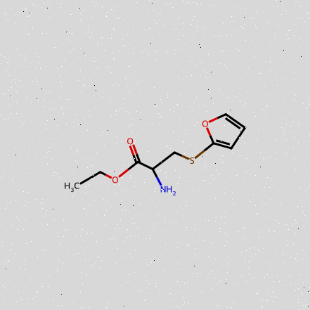 CCOC(=O)C(N)CSc1ccco1